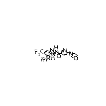 CC(C)Nc1cc(C(F)(F)F)cc2nc(NC(=O)c3ccc(CN4CCOCC4)nc3)nn12